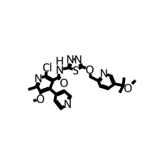 COc1c(C)nc(Cl)c(C(=O)Nc2nnc(OCc3ccc(C(C)(C)OC)cn3)s2)c1-c1ccncc1